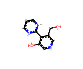 OCc1cncc(O)c1-c1ncccn1